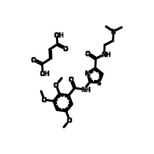 COc1cc(OC)c(OC)c(C(=O)Nc2nc(C(=O)NCCN(C)C)cs2)c1.O=C(O)C=CC(=O)O